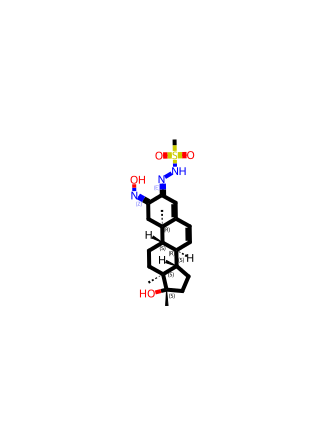 C[C@]12CC(=N/O)/C(=N/NS(C)(=O)=O)C=C1C=C[C@@H]1[C@@H]2CC[C@@]2(C)[C@H]1CC[C@]2(C)O